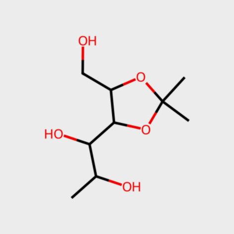 CC(O)C(O)C1OC(C)(C)OC1CO